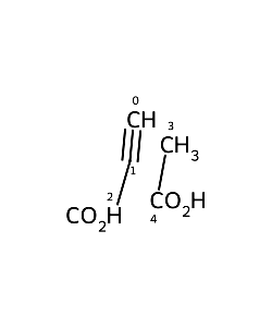 C#CC(=O)O.CC(=O)O